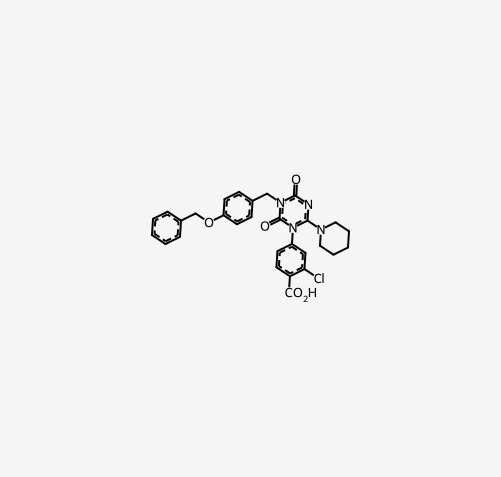 O=C(O)c1ccc(-n2c(N3CCCCC3)nc(=O)n(Cc3ccc(OCc4ccccc4)cc3)c2=O)cc1Cl